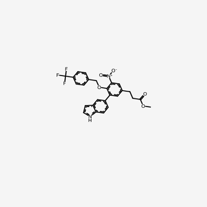 COC(=O)CCc1cc(-c2ccc3[nH]ccc3c2)c(OCc2ccc(C(F)(F)F)cc2)c([N+](=O)[O-])c1